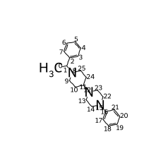 CC(c1ccccc1)N1CCC(N2CCN(c3ccccc3)CC2)CC1